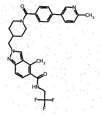 Cc1ccc(-c2ccc(C(=O)N3CCC(Cn4cc5c(C)c(C(=O)NCC(F)(F)F)ccc5n4)CC3)cc2)cn1